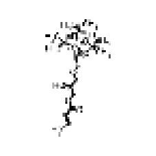 CC=CC(=O)OCC(O)COCCC[Si](O[Si](C)(C)C)(O[Si](C)(C)C)O[Si](C)(C)C